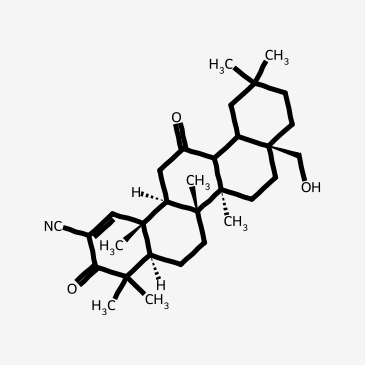 CC1(C)CC[C@]2(CO)CC[C@]3(C)C(C(=O)C[C@@H]4[C@@]5(C)C=C(C#N)C(=O)C(C)(C)[C@@H]5CC[C@]43C)C2C1